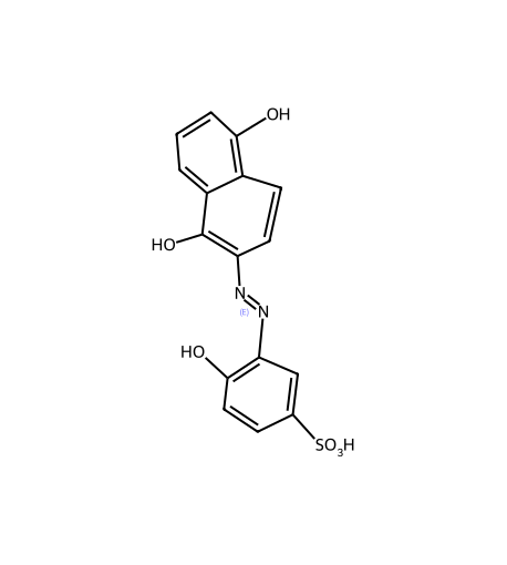 O=S(=O)(O)c1ccc(O)c(/N=N/c2ccc3c(O)cccc3c2O)c1